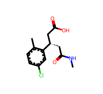 CNC(=O)C[C@@H](CC(=O)O)c1cc(Cl)ccc1C